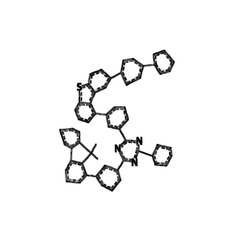 CC1(C)c2ccccc2-c2cccc(-c3cccc(-c4nc(-c5ccccc5)nc(-c5cccc(-c6cccc7sc8ccc(-c9ccc(-c%10ccccc%10)cc9)cc8c67)c5)n4)c3)c21